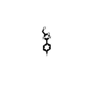 ClCc1nc(-c2ccc(I)cc2)no1